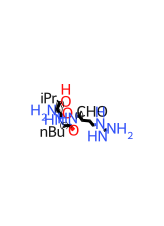 CCCC[C@H](NC(=O)[C@@H](N)[C@H](O)C(C)C)C(=O)N[C@@H]([C]=O)CCCNC(=N)N